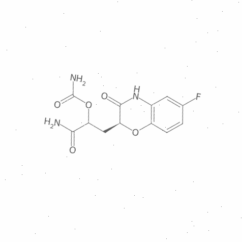 NC(=O)OC(C[C@@H]1Oc2ccc(F)cc2NC1=O)C(N)=O